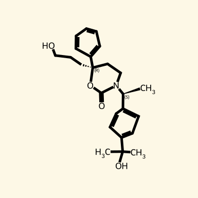 C[C@@H](c1ccc(C(C)(C)O)cc1)N1CC[C@](CCCO)(c2ccccc2)OC1=O